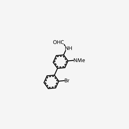 CNc1cc(-c2ccccc2Br)ccc1NC=O